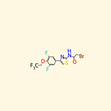 O=C(CBr)Nc1nc(-c2cc(F)c(OCC(F)(F)F)c(F)c2)cs1